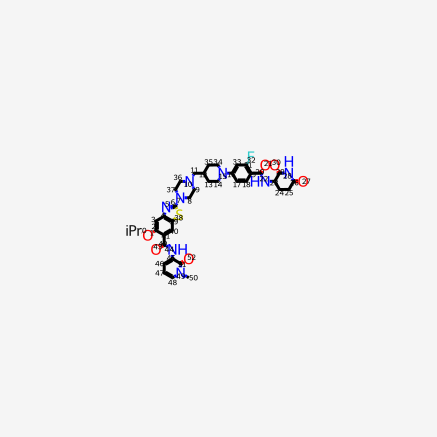 CC(C)Oc1cc2nc(N3CCN(CC4CCN(c5ccc(C(=O)NC6CCC(=O)NC6=O)c(F)c5)CC4)CC3)sc2cc1C(=O)Nc1cccn(C)c1=O